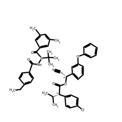 CC(C)[C@H](C(=O)O[C@H](C#N)c1cccc(Oc2ccccc2)c1)c1ccc(Cl)cc1.CCc1ccc(C(=O)NN(C(=O)c2cc(C)cc(C)c2)C(C)(C)C)cc1